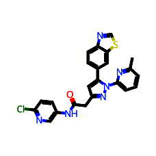 Cc1cccc(-n2nc(CC(=O)Nc3ccc(Cl)nc3)cc2-c2ccc3ncsc3c2)n1